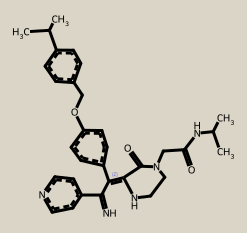 CC(C)NC(=O)CN1CCN/C(=C(\C(=N)c2ccncc2)c2ccc(OCc3ccc(C(C)C)cc3)cc2)C1=O